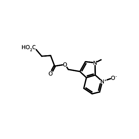 Cn1cc(COC(=O)CCC(=O)O)c2ccc[n+]([O-])c21